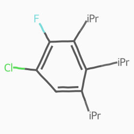 CC(C)c1cc(Cl)c(F)c(C(C)C)c1C(C)C